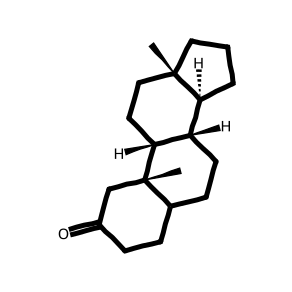 C[C@@]12CCC[C@H]1[C@@H]1CCC3CCC(=O)C[C@]3(C)[C@@H]1CC2